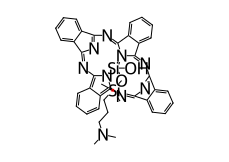 CN(C)CCC[Si](C)(C)O[Si]1(O)n2c3c4ccccc4c2N=C2N=C(N=c4c5ccccc5c(n41)=NC1=NC(=N3)c3ccccc31)c1ccccc12